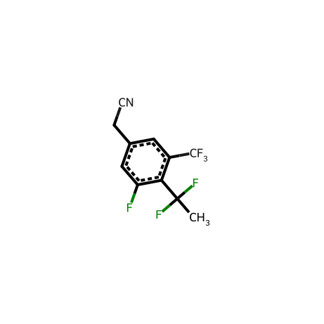 CC(F)(F)c1c(F)cc(CC#N)cc1C(F)(F)F